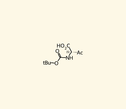 CC(=O)[C@H](NC(=O)OC(C)(C)C)C(=O)O